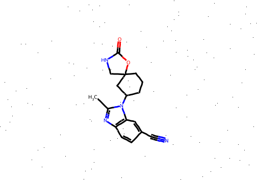 Cc1nc2ccc(C#N)cc2n1C1CCCC2(CNC(=O)O2)C1